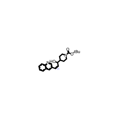 CC(C)(C)OC(=O)N1CCC(C(O)/C=C\c2cnc3ccccc3c2)CC1